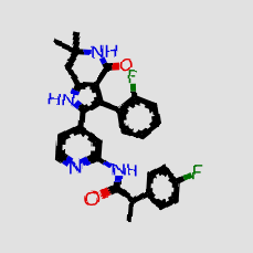 CC(C(=O)Nc1cc(-c2[nH]c3c(c2-c2ccccc2F)C(=O)NC(C)(C)C3)ccn1)c1ccc(F)cc1